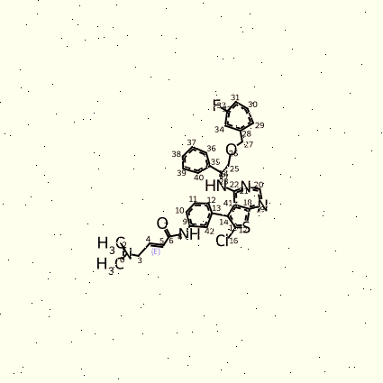 CN(C)C/C=C/C(=O)Nc1cccc(-c2c(Cl)sc3ncnc(N[C@H](COCc4cccc(F)c4)c4ccccc4)c23)c1